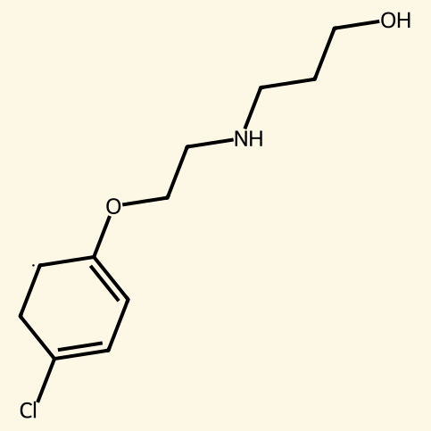 OCCCNCCOC1=CC=C(Cl)C[CH]1